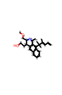 C=C/C=C(\C)C(C)(C)c1c2c(cc3ccccc13)C(CCO)C(COC)N=C2C